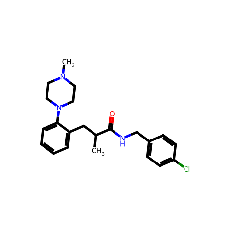 CC(Cc1ccccc1N1CCN(C)CC1)C(=O)NCc1ccc(Cl)cc1